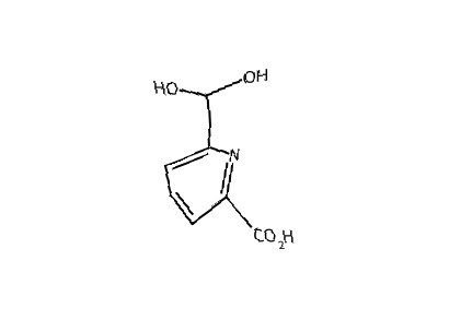 O=C(O)c1cccc(C(O)O)n1